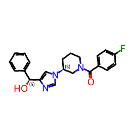 O=C(c1ccc(F)cc1)N1CCC[C@H](n2cnc([C@@H](O)c3ccccc3)c2)C1